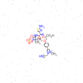 C[n+]1cc(-c2ccc(OCC(O/N=C(\C(=O)N[C@@H]3C(=O)N(OS(=O)(=O)[O-])C3(C)C)c3csc(N)n3)C(=O)O)cc2)cn1CC1CNC1